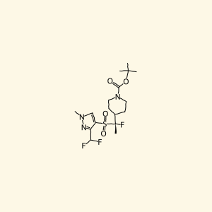 Cn1cc(S(=O)(=O)[C@@](C)(F)C2CCN(C(=O)OC(C)(C)C)CC2)c(C(F)F)n1